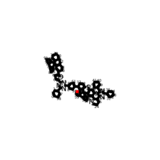 c1ccc(-c2nc(-c3ccc(-c4ccc5c(c4)C4(c6cc(-c7ncccc7-c7nc(-c8ccccc8)nc(-c8ccccc8)n7)ccc6S5)c5ccccc5-c5ccccc54)cc3)nc(-c3ccc(-c4ccc5c(c4)C4(c6ccccc6S5)c5ccccc5-c5ccccc54)o3)n2)cc1